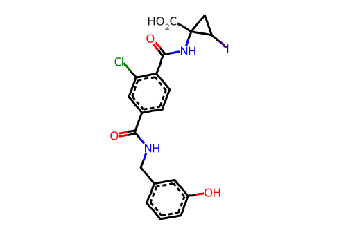 O=C(NCc1cccc(O)c1)c1ccc(C(=O)NC2(C(=O)O)CC2I)c(Cl)c1